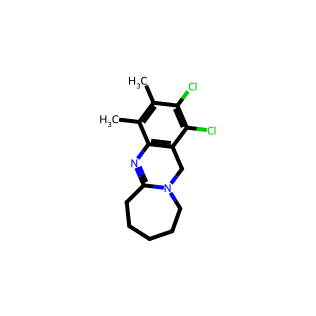 Cc1c(C)c2c(c(Cl)c1Cl)CN1CCCCCC1=N2